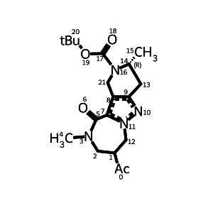 CC(=O)C1CN(C)C(=O)c2c3c(nn2C1)C[C@@H](C)N(C(=O)OC(C)(C)C)C3